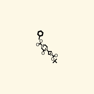 CC(C)(C)OC(=O)N1CC(N2CCN(C(=O)OCc3ccccc3)CC2=O)C1